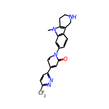 Cn1c2c(c3ccc(-n4ccc(-c5ccc(C(F)(F)F)nn5)cc4=O)cc31)CNCC2